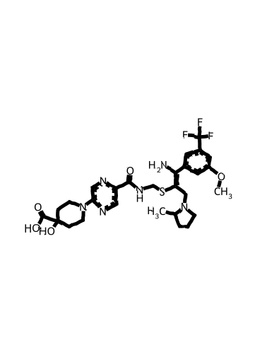 COc1cc(/C(N)=C(\CN2CCCC2C)SCNC(=O)c2cnc(N3CCC(O)(C(=O)O)CC3)cn2)cc(C(F)(F)F)c1